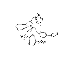 CN(C)CC1Cc2ccccc2N(C(=O)CCc2ccc(-c3ccccc3)cc2)C1.Cc1ccc(S(=O)(=O)O)cc1